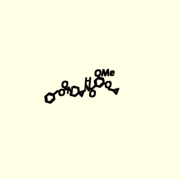 COc1cc(OCC2CC2)cc(C(=O)NC2CC23CCN(C(=O)OCc2ccccc2)CC3)c1